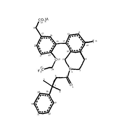 CC(C)(CC(=O)N1CCc2c(F)ccc(-c3cc(CC(=O)O)ccc3OCC(F)(F)F)c2C1)c1ccccc1